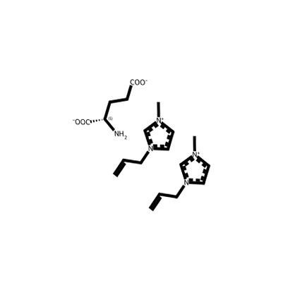 C=CCn1cc[n+](C)c1.C=CCn1cc[n+](C)c1.N[C@@H](CCC(=O)[O-])C(=O)[O-]